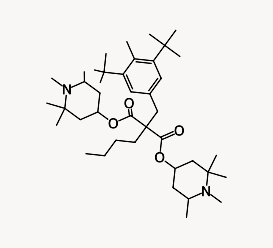 CCCCC(Cc1cc(C(C)(C)C)c(C)c(C(C)(C)C)c1)(C(=O)OC1CC(C)N(C)C(C)(C)C1)C(=O)OC1CC(C)N(C)C(C)(C)C1